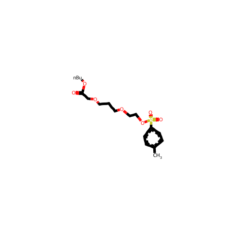 CCCCOC(=O)COCCCOCCOS(=O)(=O)c1ccc(C)cc1